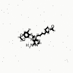 CC(=O)N1CCC(CCCCn2c(Sc3cc4c(cc3I)OCCO4)nc3c(N)ncnc32)C1